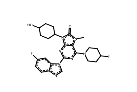 Cn1c(=O)n(C2CCC(O)CC2)c2nc(-n3cnc4ccc(F)cc43)nc(N3CCC(F)CC3)c21